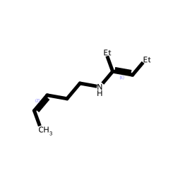 C/C=C\CCN/C(=C/CC)CC